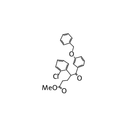 COC(=O)CCC(C(=O)c1cccc(OCc2ccccc2)c1)c1ccccc1Cl